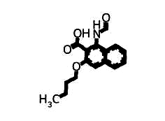 CCCCOc1cc2ccccc2c(NC=O)c1C(=O)O